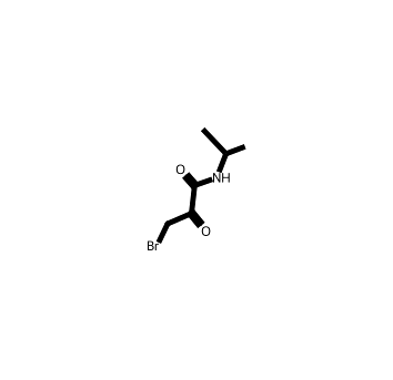 CC(C)NC(=O)C(=O)CBr